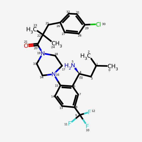 CC(C)C[C@H](N)c1cc(C(F)(F)F)ccc1N1CCN(C(=O)C(C)(C)Cc2ccc(Cl)cc2)CC1